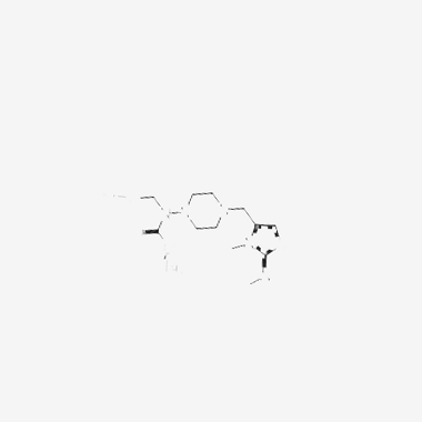 CN=c1scc(CN2CCN(N(CC=O)C(=O)OC(C)(C)C)CC2)n1C